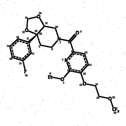 CCOc1nc(C(=O)N2CC[C@]3(c4cccc(F)c4)OCOC3C2)ccc1OCCOC(F)(F)F